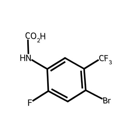 O=C(O)Nc1cc(C(F)(F)F)c(Br)cc1F